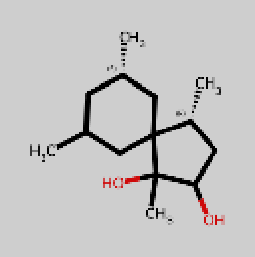 CC1C[C@H](C)CC2(C1)[C@H](C)CC(O)C2(C)O